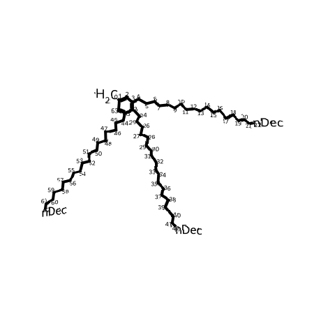 [CH2]c1cc(CCCCCCCCCCCCCCCCCCCCCCCCCCCC)c(CCCCCCCCCCCCCCCCCCCCCCCCCCCC)c(CCCCCCCCCCCCCCCCCCCCCCCCCCCC)c1